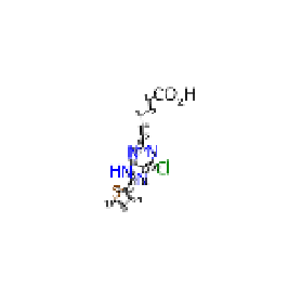 O=C(O)CCCC#Cc1nc(Cl)c2nc(-c3cccs3)[nH]c2n1